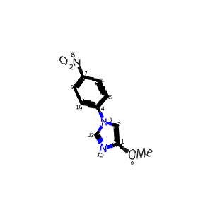 COc1cn(-c2ccc([N+](=O)[O-])cc2)cn1